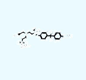 C#CCN(CCS(=O)(=O)OC)CCS(=O)(=O)Oc1ccc(C(C)(C)c2ccc(OC)cc2)cc1